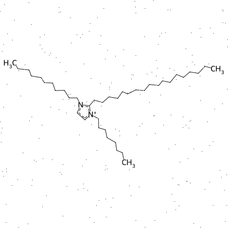 CCCCCCCCCCCCCCCCCCc1n(CCCCCCCCCCC)cc[n+]1CCCCCCCC